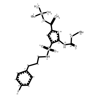 C=C(O[Si](C)(C)C(C)(C)C)c1cc(S(=O)(=O)NCCCc2ccc(F)cc2)c(NC(=O)OC(C)(C)C)s1